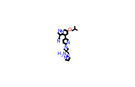 CC(C)COc1cc(-c2ccc(N3CC(N)(Cn4cccn4)C3)nc2)c2c(C#N)cnn2c1